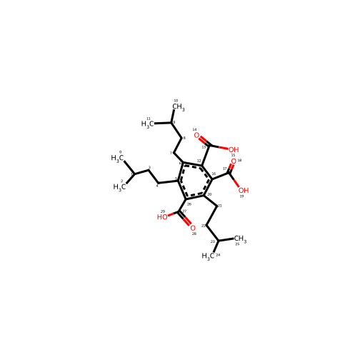 CC(C)CCc1c(CCC(C)C)c(C(=O)O)c(C(=O)O)c(CCC(C)C)c1C(=O)O